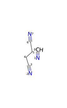 C#N.N#CCCC#N